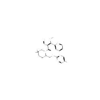 CN/C(=C(\C=N)C(=O)N1CC(F)(F)C[C@@H](C)C1CNc1ncc(Cl)cn1)c1ccccn1